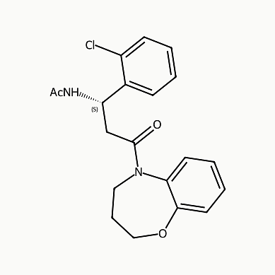 CC(=O)N[C@@H](CC(=O)N1CCCOc2ccccc21)c1ccccc1Cl